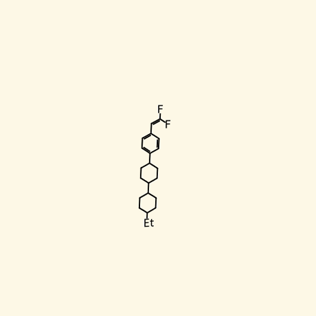 CCC1CCC(C2CCC(c3ccc(C=C(F)F)cc3)CC2)CC1